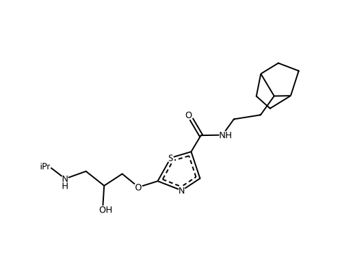 CC(C)NCC(O)COc1ncc(C(=O)NCCC2C3CCC2CC3)s1